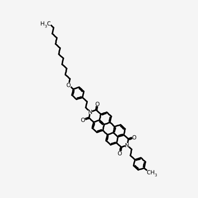 CCCCCCCCCCCCOc1ccc(CCN2C(=O)c3ccc4c5ccc6c7c(ccc(c8ccc(c3c48)C2=O)c75)C(=O)N(CCc2ccc(C)cc2)C6=O)cc1